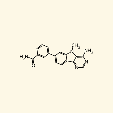 Cn1c2cc(-c3cccc(C(N)=O)c3)ccc2c2ncnc(N)c21